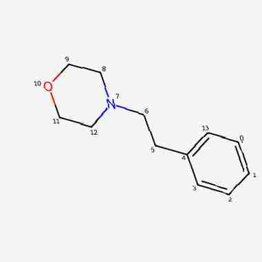 [c]1cccc(CCN2CCOCC2)c1